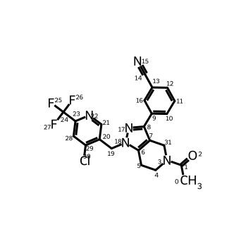 CC(=O)N1CCc2c(c(-c3cccc(C#N)c3)nn2Cc2cnc(C(F)(F)F)cc2Cl)C1